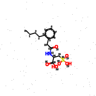 CCCCc1ccccc1CC(=O)NC(CS(=O)(=O)O)C(=O)O